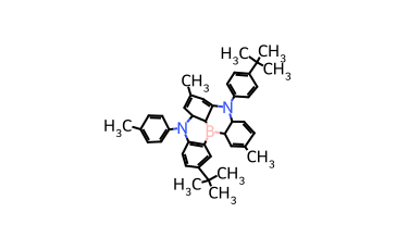 CC1=CC2B3c4cc(C(C)(C)C)ccc4N(c4ccc(C)cc4)C4C=C(C)C=C(C34)N(c3ccc(C(C)(C)C)cc3)C2C=C1